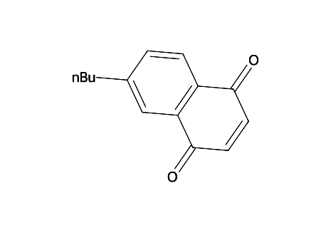 CCCCc1ccc2c(c1)C(=O)C=CC2=O